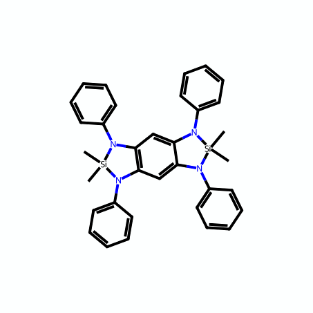 C[Si]1(C)N(c2ccccc2)c2cc3c(cc2N1c1ccccc1)N(c1ccccc1)[Si](C)(C)N3c1ccccc1